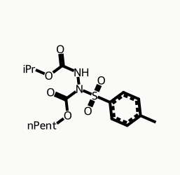 CCCCCOC(=O)N(NC(=O)OC(C)C)S(=O)(=O)c1ccc(C)cc1